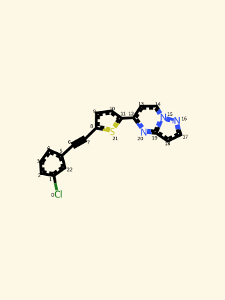 Clc1cccc(C#Cc2ccc(-c3ccn4nccc4n3)s2)c1